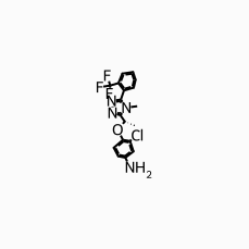 C[C@H](Oc1ccc(N)cc1Cl)c1nnc(-c2ccccc2C(F)(F)F)n1C